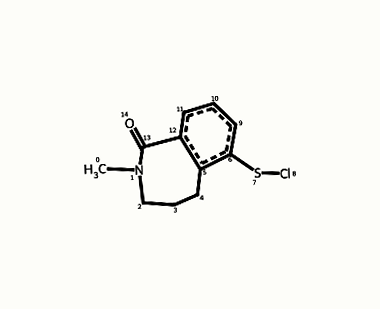 CN1CCCc2c(SCl)cccc2C1=O